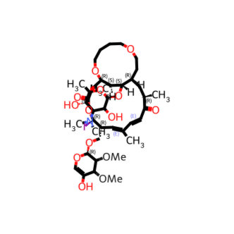 COC1C(O)=CO[C@@H](OC[C@H]2/C=C(C)/C=C/C(=O)[C@H](C)C[C@@H]3CCOCCCCO[C@H](CC(=O)O[C@@H]2I)[C@H](C)[C@H]3O[C@@H]2OC(C)[C@@H](O)C(N(C)C)C2O)C1OC